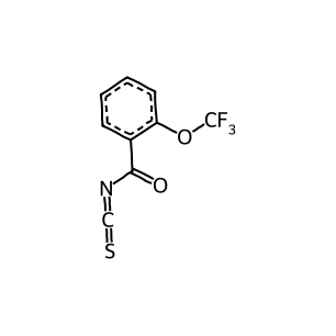 O=C(N=C=S)c1ccccc1OC(F)(F)F